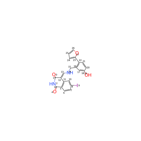 O=C1NC(=O)c2ccc(I)cc2/C1=C\NCc1cc(O)ccc1-c1ccco1